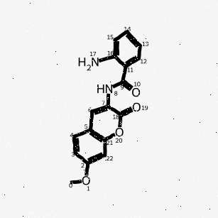 COc1ccc2cc(NC(=O)c3ccccc3N)c(=O)oc2c1